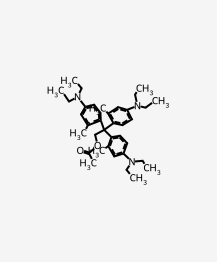 CCN(CC)c1ccc(C(COC(C)=O)(c2ccc(N(CC)CC)cc2C)c2ccc(N(CC)CC)cc2C)c(C)c1